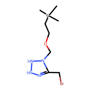 C[Si](C)(C)CCOCN1NNN=C1CBr